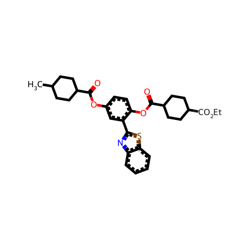 CCOC(=O)C1CCC(C(=O)Oc2ccc(OC(=O)C3CCC(C)CC3)cc2-c2nc3ccccc3s2)CC1